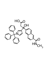 CNC(=O)c1ccc2cc([C@@](O)(CC(=O)O)c3ccn(C(c4ccccc4)(c4ccccc4)c4ccccc4)c3)ccc2c1